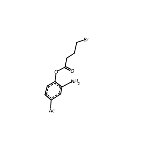 CC(=O)c1ccc(OC(=O)CCCBr)c(N)c1